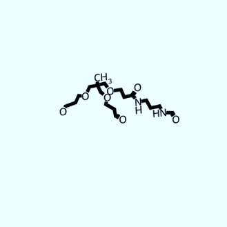 CC(COCCC=O)(COCCC=O)COCCC(=O)NCCCNC=O